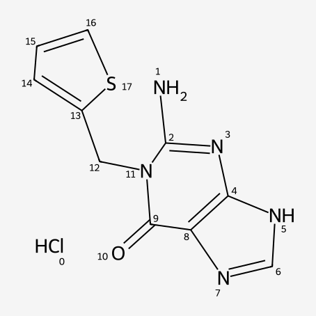 Cl.Nc1nc2[nH]cnc2c(=O)n1Cc1cccs1